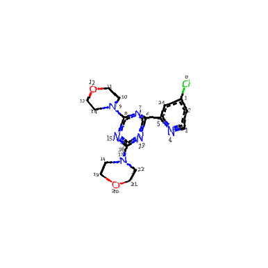 Clc1ccnc(-c2nc(N3CCOCC3)nc(N3CCOCC3)n2)c1